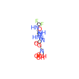 C#CCN(CCCOc1cc2ncnc(Nc3cc(CC(=O)Nc4cc(F)cc(F)c4)[nH]n3)c2cc1OC)CCOP(=O)(O)O